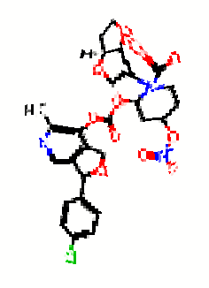 Cc1ncc2c(c1OC(=O)O[C@@H]1CC(O[N+](=O)[O-])CC[N+]1(C(=O)[O-])C1CO[C@H]3CCOC13)COC2c1ccc(Cl)cc1